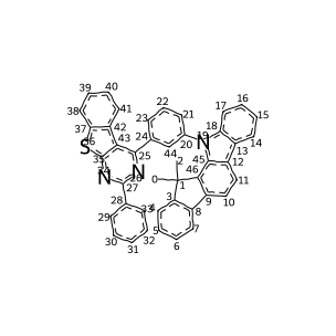 CC1(C)c2ccccc2-c2ccc3c4ccccc4n(-c4cccc(-c5nc(-c6ccccc6)nc6sc7ccccc7c56)c4)c3c21